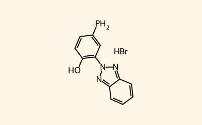 Br.Oc1ccc(P)cc1-n1nc2ccccc2n1